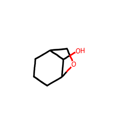 OC1C2CCCC1OC2